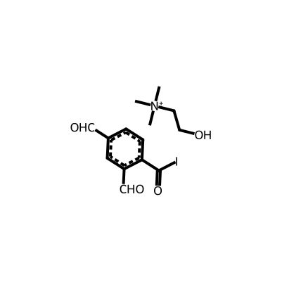 C[N+](C)(C)CCO.O=Cc1ccc(C(=O)I)c(C=O)c1